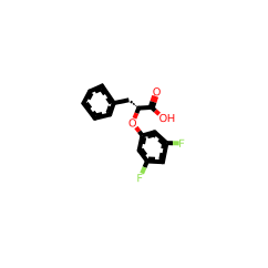 O=C(O)[C@@H](Cc1ccccc1)Oc1cc(F)cc(F)c1